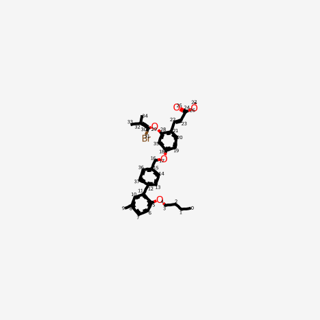 CCCCOc1ccc(C)cc1-c1ccc(COc2ccc(/C=C/C(=O)OC)c(OC(Br)=C(C)C)c2)cc1